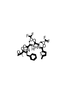 Cc1ccc(C(=O)N[C@@H](COC(F)F)C(=O)N[C@@H](COC(F)F)C(=O)N[C@@H](Cc2ccccc2)C(=O)[C@@]2(C)CO2)s1